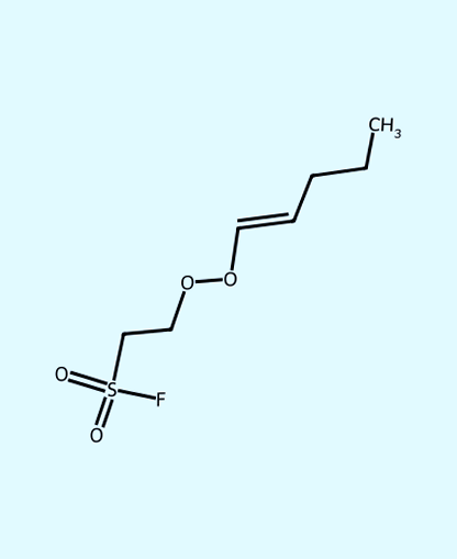 CCCC=COOCCS(=O)(=O)F